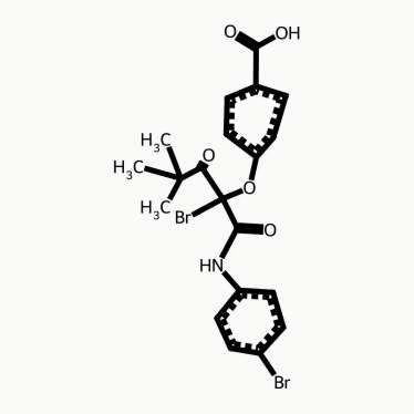 CC(C)(C)C(=O)C(Br)(Oc1ccc(C(=O)O)cc1)C(=O)Nc1ccc(Br)cc1